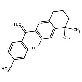 C=C(c1ccc(C(=O)O)cc1)c1cc2c(cc1C)C(C)(C)CCC2